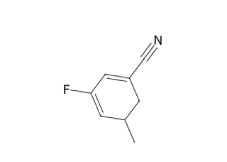 CC1C=C(F)C=C(C#N)C1